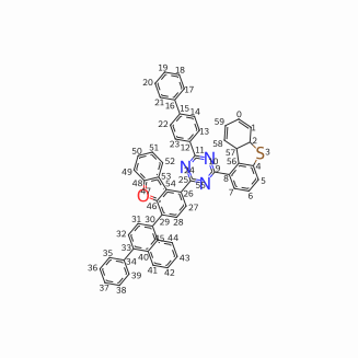 C1=CC2Sc3cccc(-c4nc(-c5ccc(-c6ccccc6)cc5)nc(-c5ccc(-c6ccc(-c7ccccc7)c7ccccc67)c6oc7ccccc7c56)n4)c3C2C=C1